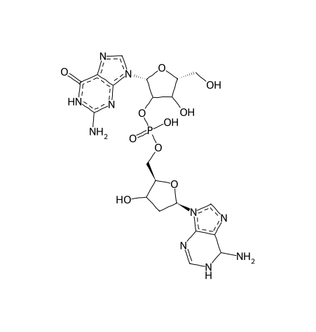 Nc1nc2c(ncn2[C@@H]2O[C@H](CO)C(O)C2OP(=O)(O)OC[C@H]2O[C@@H](n3cnc4c3N=CNC4N)CC2O)c(=O)[nH]1